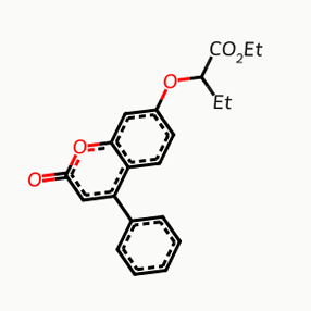 CCOC(=O)C(CC)Oc1ccc2c(-c3ccccc3)cc(=O)oc2c1